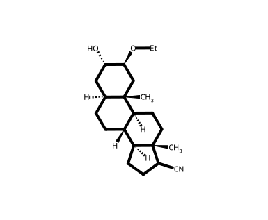 CCO[C@H]1C[C@@]2(C)[C@@H](CC[C@@H]3[C@@H]2CC[C@]2(C)C(C#N)CC[C@@H]32)C[C@@H]1O